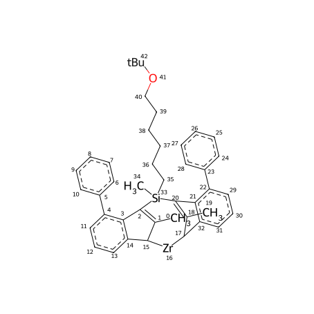 CC1=C2c3c(-c4ccccc4)cccc3[CH]1[Zr][CH]1C(C)=C(c3c(-c4ccccc4)cccc31)[Si]2(C)CCCCCCOC(C)(C)C